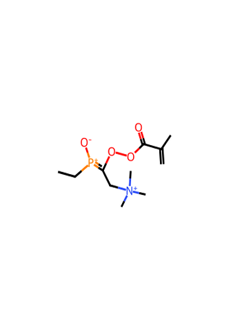 C=C(C)C(=O)OO/C(C[N+](C)(C)C)=[P+](\[O-])CC